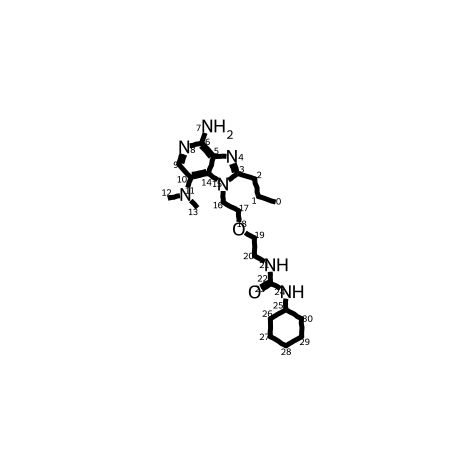 CCCc1nc2c(N)ncc(N(C)C)c2n1CCOCCNC(=O)NC1CCCCC1